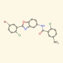 O=C(Nc1ccc2oc(-c3cc(Br)ccc3Cl)nc2c1)c1cc([N+](=O)[O-])ccc1Cl